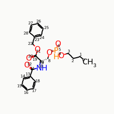 CCCCO[PH](=O)OC[C@H](NC(=O)c1ccccc1)C(=O)OCc1ccccc1